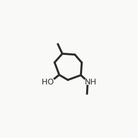 CNC1CCC(C)CC(O)C1